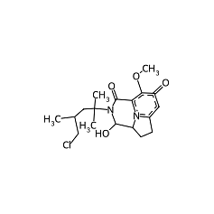 COc1c2n3c(cc1=O)CCC3C(O)N(C(C)(C)CC(C)CCl)C2=O